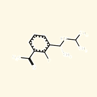 CC(=O)c1cccc([C@@H](C)NC(C)C)c1F